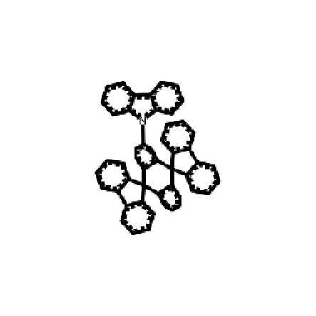 c1ccc2c(c1)-c1ccccc1C21c2ccccc2C2(c3ccccc3-c3ccccc32)c2cc(-n3c4ccccc4c4ccccc43)ccc21